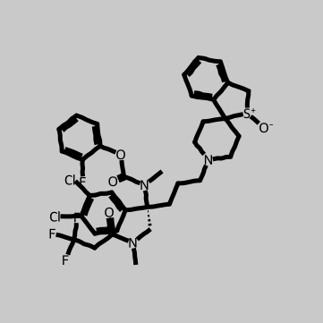 CN(C[C@](CCCN1CCC2(CC1)c1ccccc1C[S+]2[O-])(c1ccc(Cl)c(Cl)c1)N(C)C(=O)Oc1ccccc1F)C(=O)CC(F)(F)F